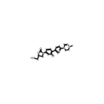 CN1CCN(c2ccc(-c3ccc(N4CC(CO)OC4=O)cc3F)cn2)C=N1